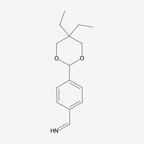 CCC1(CC)COC(c2ccc(C=N)cc2)OC1